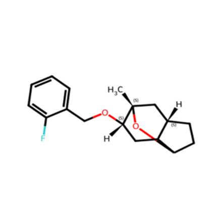 C[C@@]12C[C@@H]3CCC(O1)C3C[C@@H]2OCc1ccccc1F